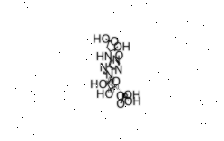 O=C(O)CC(Nc1ncnc2c1ncn2[C@@H]1O[C@H](COP(=O)(O)O)[C@@H](O)[C@H]1O)C(=O)O